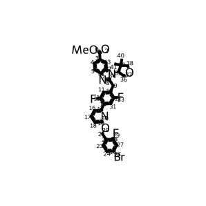 COC(=O)c1ccc2nc(Cc3cc(F)c(-c4cccc(OCc5ccc(Br)cc5F)n4)cc3F)n([C@@H]3COCC3(C)C)c2c1